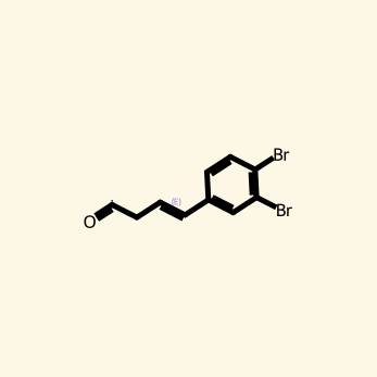 O=[C]C/C=C/c1ccc(Br)c(Br)c1